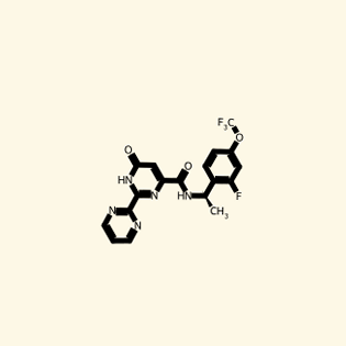 C[C@@H](NC(=O)c1cc(=O)[nH]c(-c2ncccn2)n1)c1ccc(OC(F)(F)F)cc1F